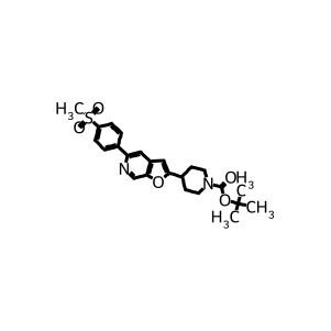 CC(C)(C)OC(=O)N1CCC(c2cc3cc(-c4ccc(S(C)(=O)=O)cc4)ncc3o2)CC1